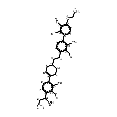 CCOc1ccc(-c2ccc(CCC3CC=C(c4ccc(C(O)CC)c(F)c4F)CC3)c(F)c2F)c(F)c1F